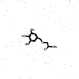 CCCCC(CC)COCc1cc(C(C)(C)C)c(O)c(C(C)(C)C)c1